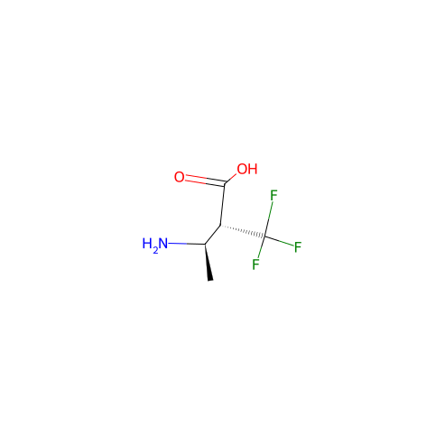 C[C@@H](N)[C@H](C(=O)O)C(F)(F)F